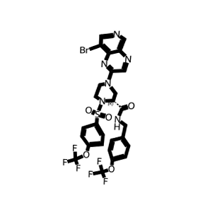 O=C(NCc1ccc(OC(F)(F)F)cc1)[C@H]1CN(c2cnc3cncc(Br)c3n2)CCN1S(=O)(=O)c1ccc(OC(F)(F)F)cc1